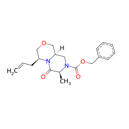 C=CC[C@H]1COC[C@H]2CN(C(=O)OCc3ccccc3)[C@@H](C)C(=O)N12